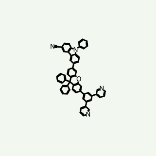 N#Cc1ccc2c(c1)c1cc(-c3ccc4c(c3)Oc3cc(-c5cc(-c6cccnc6)cc(-c6cccnc6)c5)ccc3C4(c3ccccc3)c3ccccc3)ccc1n2-c1ccccc1